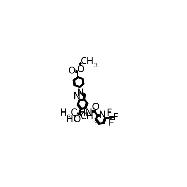 CCOC(=O)[C@H]1CC[C@H](n2cc3cc(NC(=O)c4cccc(C(F)(F)F)n4)c(C(C)(C)O)cc3n2)CC1